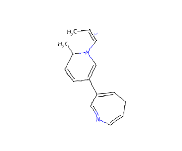 C/C=C\N1C=C(C2=CCC=CN=C2)C=CC1C